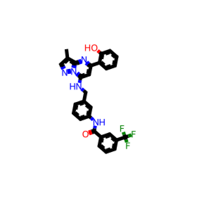 Cc1cnn2c(NCc3cccc(NC(=O)c4cccc(C(F)(F)F)c4)c3)cc(-c3ccccc3O)nc12